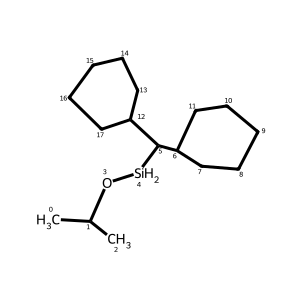 CC(C)O[SiH2]C(C1CCCCC1)C1CCCCC1